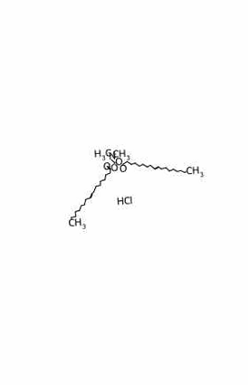 CCCCCCCCC=CCCCCCCCC(=O)OC(CN(C)C)OC(=O)CCCCCCCC=CCCCCCCCC.Cl